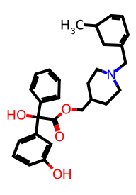 CC1C=CC=C(CN2CCC(COC(=O)C(O)(c3ccccc3)c3cccc(O)c3)CC2)C1